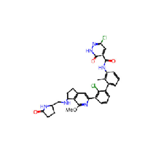 COc1nc(-c2cccc(-c3cccc(NC(=O)c4cc(Cl)n[nH]c4=O)c3C)c2Cl)cc2c1C(NCC1CCC(=O)N1)CC2